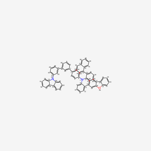 c1cc(-c2ccc(N(c3ccccc3-c3ccc4c(c3)oc3ccccc34)c3ccccc3-c3cccc4ccccc34)cc2)cc(-c2cccc(-n3c4ccccc4c4ccccc43)c2)c1